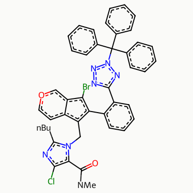 CCCCc1nc(Cl)c(C(=O)NC)n1Cc1c2ccocc-2c(Br)c1-c1ccccc1-c1nnn(C(c2ccccc2)(c2ccccc2)c2ccccc2)n1